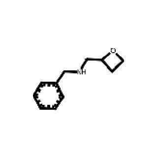 [CH](NCc1ccccc1)C1CCO1